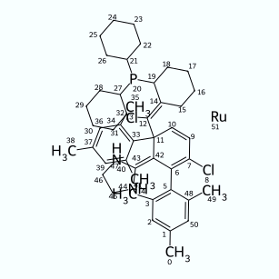 Cc1cc(C)c(C2=C(Cl)C=CC(C(Cl)=C3CCCCC3P(C3CCCCC3)C3CCCCC3)(c3c(C)cc(C)cc3C)C2=C2NCCN2)c(C)c1.[Ru]